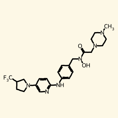 CN1CCN(CC(=O)N(O)Cc2ccc(Nc3ccc(N4CCC(C(F)(F)F)C4)cn3)cc2)CC1